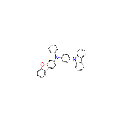 c1ccc(N(c2ccc(-n3c4ccccc4c4ccccc43)cc2)c2ccc3c(c2)oc2ccccc23)cc1